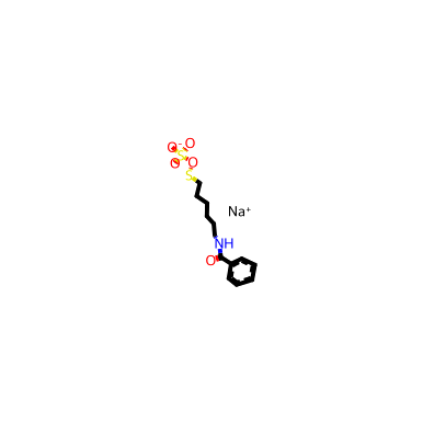 O=C(NCCCCCCSOS(=O)(=O)[O-])c1ccccc1.[Na+]